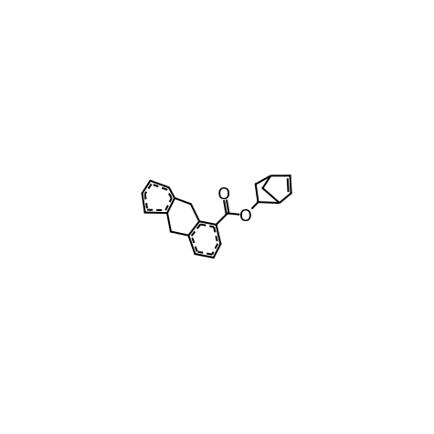 O=C(OC1CC2C=CC1C2)c1cccc2c1Cc1ccccc1C2